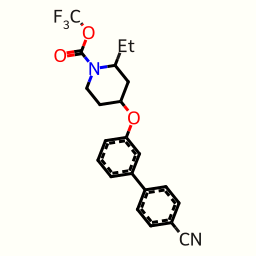 CCC1CC(Oc2cccc(-c3ccc(C#N)cc3)c2)CCN1C(=O)OC(F)(F)F